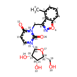 Cc1cccc2onc(Cn3c(=O)ccn([C@@H]4O[C@H](CO)[C@H](O)[C@@H]4O)c3=O)c12